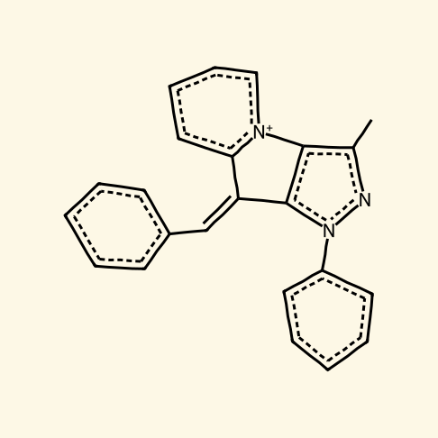 Cc1nn(-c2ccccc2)c2c1-[n+]1ccccc1/C2=C\c1ccccc1